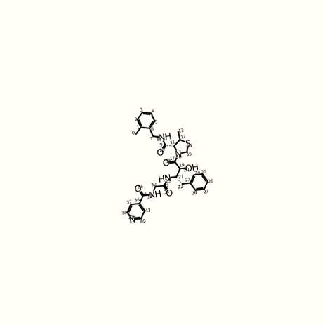 Cc1ccccc1CNC(=O)[C@@H]1C(C)SCN1C(=O)[C@@H](O)[C@H](Cc1ccccc1)NC(=O)CNC(=O)c1ccncc1